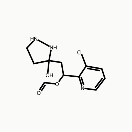 O=COC(CC1(O)CCNN1)c1ncccc1Cl